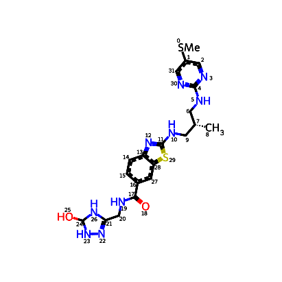 CSc1cnc(NC[C@H](C)CNc2nc3ccc(C(=O)NCC4=NNC(O)N4)cc3s2)nc1